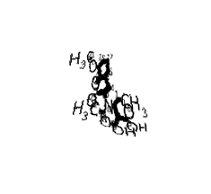 CCC(=C(C(=O)O)C(=O)O)N(CC)c1cc2cccc(OC)c2oc1=O